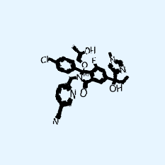 CCC(O)(c1cc(F)c2c(c1)C(=O)N(Cc1ccc(C#N)cn1)[C@@]2(OCC(C)O)c1ccc(Cl)cc1)c1cn(C)cn1